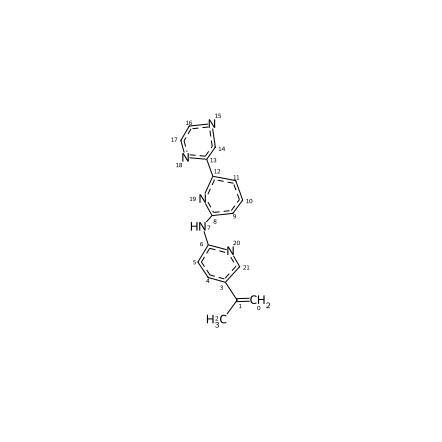 C=C(C)c1ccc(Nc2cccc(-c3cnccn3)n2)nc1